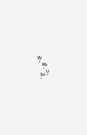 [Li].[Rb].[Sn].[W]